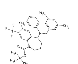 Cc1cc(C)cc(CN(c2ccccc2)C2CCCN(C(=O)OC(C)(C)C)c3cc(C(F)(F)F)c(C)cc32)c1